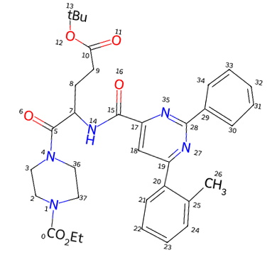 CCOC(=O)N1CCN(C(=O)C(CCC(=O)OC(C)(C)C)NC(=O)c2cc(-c3ccccc3C)nc(-c3ccccc3)n2)CC1